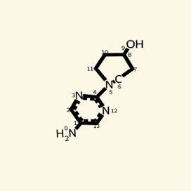 Nc1cnc(N2CCC(O)CC2)nc1